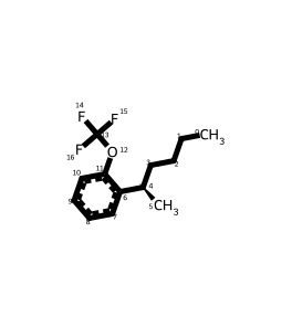 CCCC[C@@H](C)c1ccccc1OC(F)(F)F